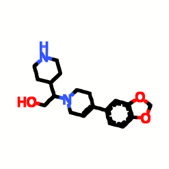 OCC(C1CCNCC1)N1CC=C(c2ccc3c(c2)OCO3)CC1